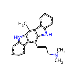 Cc1c2[nH]c3ccccc3c2c(C=CCN(C)C)c2[nH]c3ccccc3c12